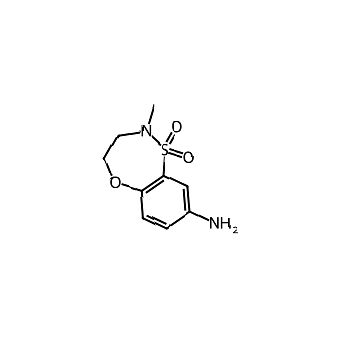 CN1CCOc2ccc(N)cc2S1(=O)=O